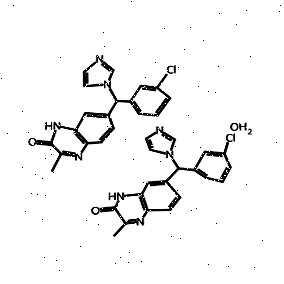 Cc1nc2ccc(C(c3cccc(Cl)c3)n3ccnc3)cc2[nH]c1=O.Cc1nc2ccc(C(c3cccc(Cl)c3)n3ccnc3)cc2[nH]c1=O.O